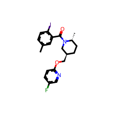 Cc1ccc(I)c(C(=O)N2C[C@H](COc3ccc(F)cn3)CC[C@H]2C)c1